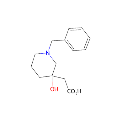 O=C(O)CC1(O)CCCN(Cc2ccccc2)C1